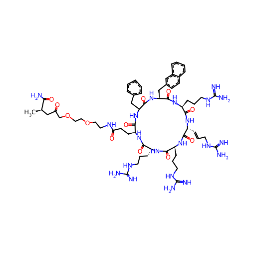 C[C@H](CC(=O)COCCOCCNC(=O)CC[C@@H]1NC(=O)[C@@H](CCCNC(=N)N)NC(=O)[C@H](CCCNC(=N)N)NC(=O)[C@@H](/C=C/CNC(=N)N)NC(=O)[C@H](CCCNC(=N)N)NC(=O)[C@H](Cc2ccc3ccccc3c2)NC(=O)C(Cc2ccccc2)NC1=O)C(N)=O